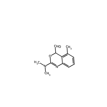 Cc1cccc2c1C(C=O)OC(N(C)C)=N2